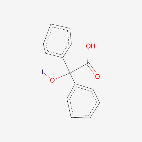 O=C(O)C(OI)(c1ccccc1)c1ccccc1